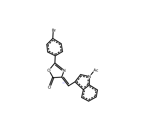 CC(=O)n1cc(/C=C2\N=C(c3ccc(Br)cc3)OC2=O)c2ccccc21